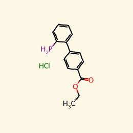 CCOC(=O)c1ccc(-c2ccccc2P)cc1.Cl